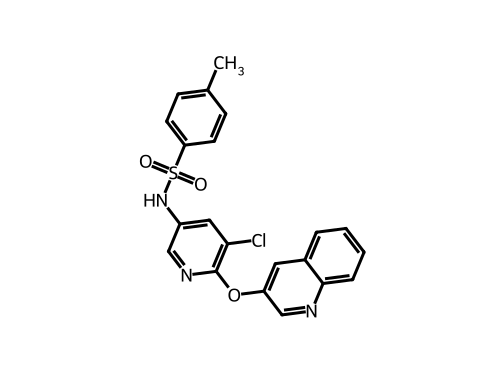 Cc1ccc(S(=O)(=O)Nc2cnc(Oc3cnc4ccccc4c3)c(Cl)c2)cc1